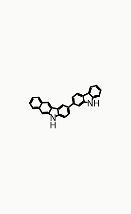 c1ccc2cc3c(cc2c1)[nH]c1ccc(-c2ccc4c(c2)[nH]c2ccccc24)cc13